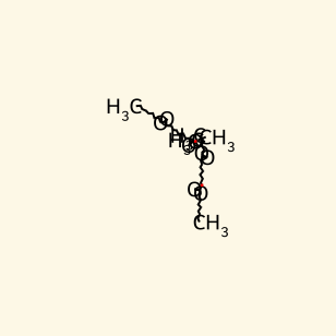 CCCCCCCCOC(=O)CCCCCCCCC(=O)OCC(COC(=O)CCCCCCCCC(=O)OCCCCCCCC)CC(C)(C)C